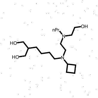 CCCN(CCO)CCN(CCCCC(CO)CO)C1CCC1